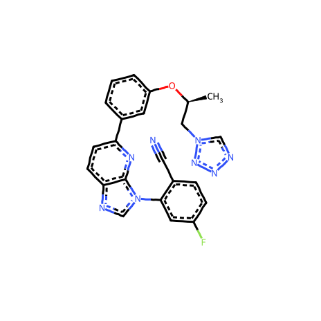 C[C@@H](Cn1cnnn1)Oc1cccc(-c2ccc3ncn(-c4cc(F)ccc4C#N)c3n2)c1